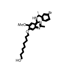 COc1cc2c(N[C@H](C)c3cccc(Br)c3)nc(C)nc2cc1OCCCCCCCCCO